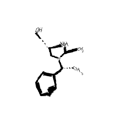 C=C1N[C@@H](CO)CN1[C@H](C)c1ccccc1